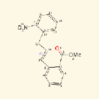 COC(=O)c1ccccc1/C=C/Cc1ccccc1[N+](=O)[O-]